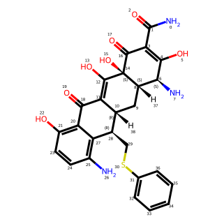 NC(=O)C1=C(O)[C@@H](N)[C@@H]2C[C@H]3C(=C(O)[C@]2(O)C1=O)C(=O)c1c(O)ccc(N)c1[C@@H]3CSc1ccccc1